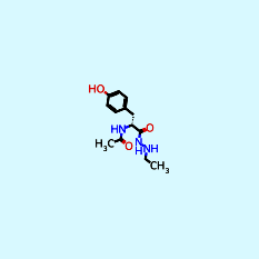 CCNNC(=O)[C@@H](Cc1ccc(O)cc1)NC(C)=O